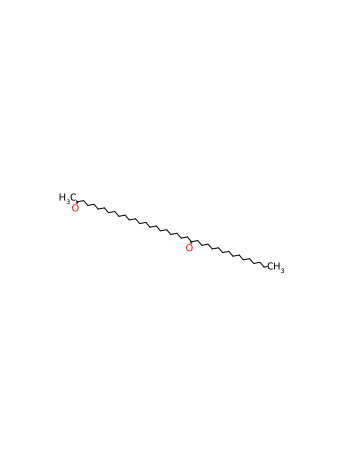 CCCCCCCCCCCCCCCC(=O)CCCCCCCCCCCCCCCCCCCCCC(C)=O